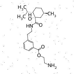 CC(C)[C@@H]1CC[C@@H](C)C[C@@]1(O)C(=O)NCCc1cccc(C(=O)OCCN)c1